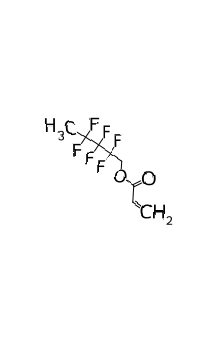 C=CC(=O)OCC(F)(F)C(F)(F)C(C)(F)F